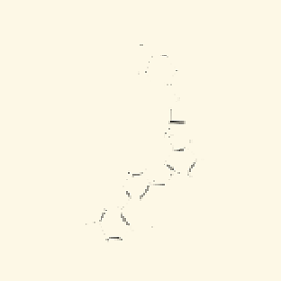 CC(C)(C)N1CCN(CCC(=O)Nc2cc(Nc3cnnc(-c4cc(Cl)ccc4F)c3)ccn2)CC1